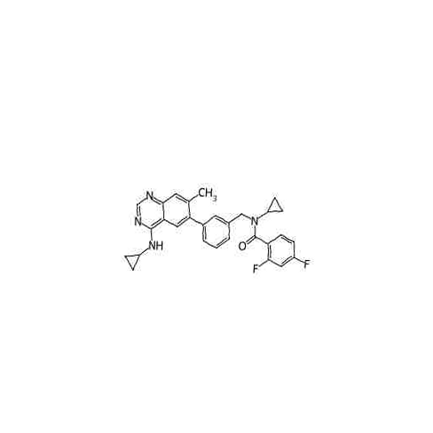 Cc1cc2ncnc(NC3CC3)c2cc1-c1cccc(CN(C(=O)c2ccc(F)cc2F)C2CC2)c1